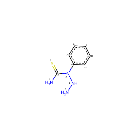 NNN(C(N)=S)c1ccccc1